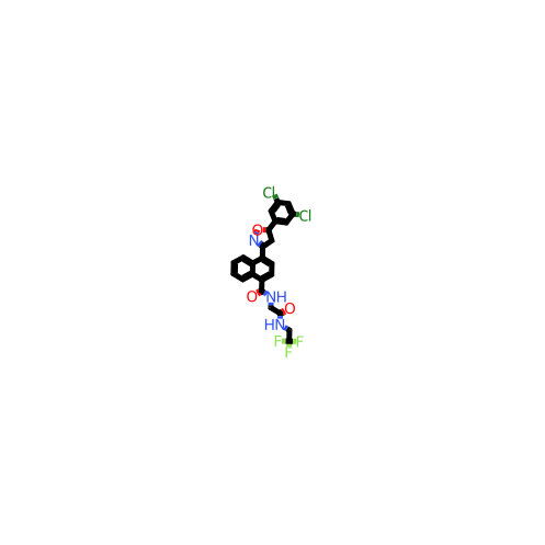 O=C(CNC(=O)c1ccc(C2=NOC(c3cc(Cl)cc(Cl)c3)C2)c2ccccc12)NCC(F)(F)F